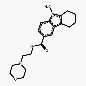 Cn1c2c(c3cc(C(=O)NCCN4CCOCC4)ccc31)CCCC2